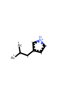 CC(=O)C(Cc1cc[nH]c1)C(C)=O